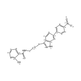 O=C(NCCCCc1n[nH]c2cc(-c3ccc([N+](=O)[O-])cc3)ccc12)c1ccccc1O